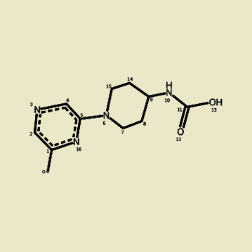 Cc1cncc(N2CCC(NC(=O)O)CC2)n1